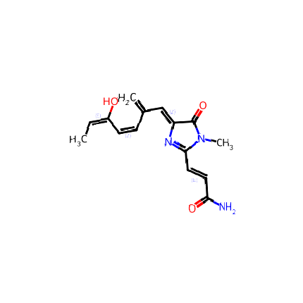 C=C(/C=C\C(O)=C/C)/C=C1N=C(/C=C/C(N)=O)N(C)C\1=O